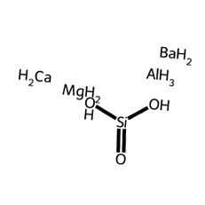 O=[Si](O)O.[AlH3].[BaH2].[CaH2].[MgH2]